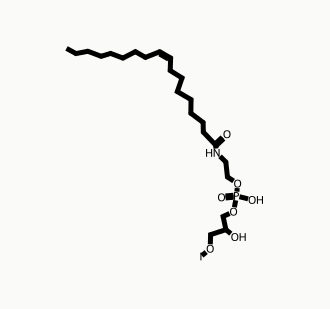 CCCCCCCC/C=C\CCCCCCCC(=O)NCCOP(=O)(O)OCC(O)COI